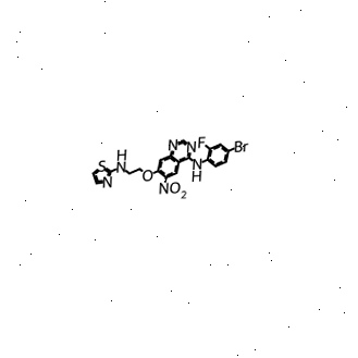 O=[N+]([O-])c1cc2c(Nc3ccc(Br)cc3F)ncnc2cc1OCCNc1nccs1